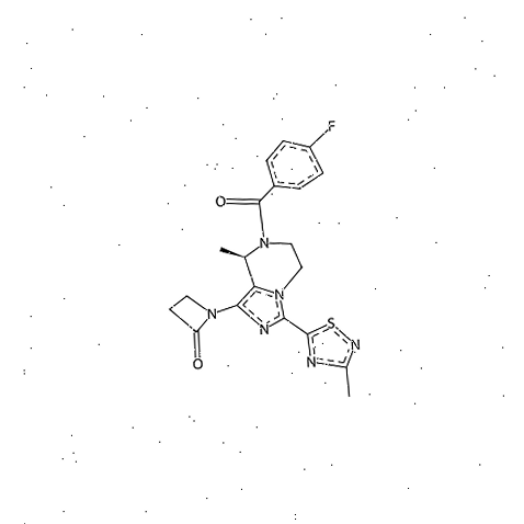 Cc1nsc(-c2nc(N3CCC3=O)c3n2CCN(C(=O)c2ccc(F)cc2)[C@@H]3C)n1